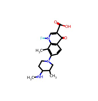 CNC1CCN(c2ccc3c(=O)c(C(=O)O)cn(F)c3c2C)CC1C